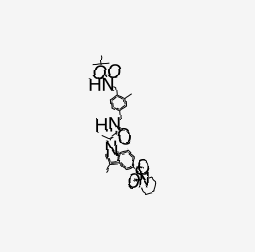 Cc1cc(CNC(=O)C(C)n2cc(C)c3cc(S(=O)(=O)N4CCCCC4)ccc32)ccc1CNC(=O)OC(C)(C)C